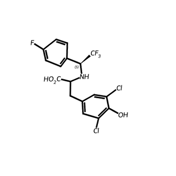 O=C(O)C(Cc1cc(Cl)c(O)c(Cl)c1)N[C@@H](c1ccc(F)cc1)C(F)(F)F